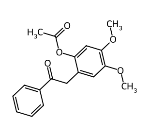 COc1cc(CC(=O)c2ccccc2)c(OC(C)=O)cc1OC